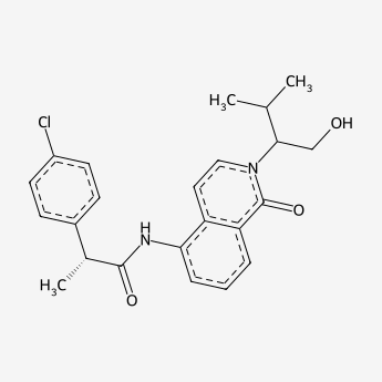 CC(C)C(CO)n1ccc2c(NC(=O)[C@H](C)c3ccc(Cl)cc3)cccc2c1=O